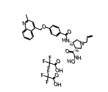 C=CCN1C[C@H](C(=O)NO)[C@H](NC(=O)c2ccc(OCc3cc(C)nc4ccccc34)cc2)C1.O=C(O)C(F)(F)F.O=C(O)C(F)(F)F